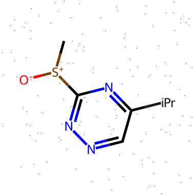 CC(C)c1cnnc([S+](C)[O-])n1